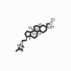 CCOC[C@@]1(O)CC[C@H]2[C@@H](CC[C@@H]3[C@@H]2CC[C@]2(C)[C@@H](CCn4nnc(C)n4)CC[C@@H]32)C1